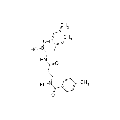 C=C/C=C\C(=C/C)C[C@H](NC(=O)CCN(CC)C(=O)c1ccc(C)cc1)B(O)O